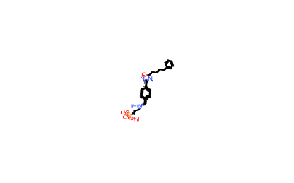 O=P(O)(O)CCCNCc1ccc(-c2noc(CCCCc3ccccc3)n2)cc1